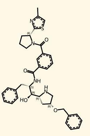 Cc1csc([C@H]2CCCN2C(=O)c2cccc(C(=O)N[C@@H](Cc3ccccc3)[C@H](O)[C@H]3C[C@@H](OCc4ccccc4)CN3)c2)n1